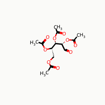 CC(=O)OC[C@H](OC(C)=O)[C@H](OC(C)=O)[C@@H](C=O)OC(C)=O